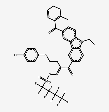 CCn1c2ccc(C(=O)C3=C(C)CCC=C3)cc2c2cc(C(=O)/C(CCSc3ccc(Cl)cc3)=N/OS(=O)(=O)C(F)(F)C(F)(F)C(F)(F)C(F)(F)F)ccc21